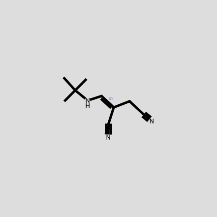 CC(C)(C)N/C=C(\C#N)CC#N